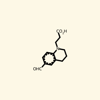 O=Cc1ccc2c(c1)CCCN2CCC(=O)O